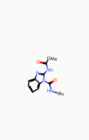 COC(=O)Nc1nc2ccccc2n1C(=O)NC(C)(C)C